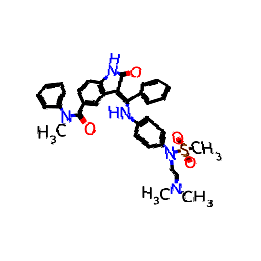 CN(C)CCN(c1ccc(NC(=C2C(=O)Nc3ccc(C(=O)N(C)c4ccccc4)cc32)c2ccccc2)cc1)S(C)(=O)=O